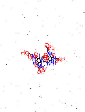 CC(=O)N(CC1CNc2c(I)c(C(=O)NCC(O)CO)c(I)c(C(=O)NCC(O)CO)c2O1)c1c(I)c(C(=O)NCC(O)CO)c(I)c(C(=O)NCC(O)CO)c1I